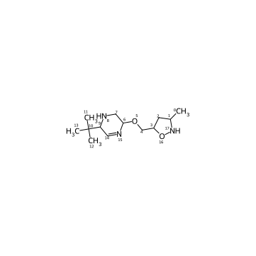 CC1CC(COC2CNC(C(C)(C)C)C=N2)ON1